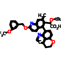 Cc1cc2nc(OCc3cccc(OC(F)(F)F)c3)ccc2c(-c2ccc3c4c(ccnc24)CCO3)c1[C@H](OC(C)(C)C)C(=O)O